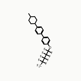 CC1CCC(c2ccc(-c3ccc(OC(F)(F)C(F)(F)C(F)(F)C(F)(F)C(F)(F)F)cc3)cc2)CC1